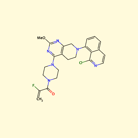 C=C(F)C(=O)N1CCN(c2nc(OC)nc3c2CCN(c2cccc4ccnc(Cl)c24)C3)CC1